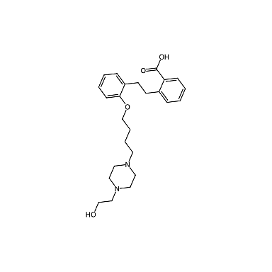 O=C(O)c1ccccc1CCc1ccccc1OCCCCN1CCN(CCO)CC1